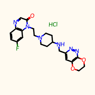 Cl.O=c1cnc2ccc(F)cc2n1CCN1CCC(NCc2cc3c(nn2)OCCO3)CC1